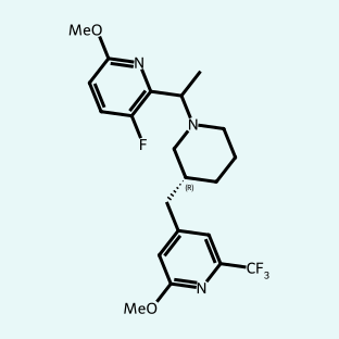 COc1cc(C[C@H]2CCCN(C(C)c3nc(OC)ccc3F)C2)cc(C(F)(F)F)n1